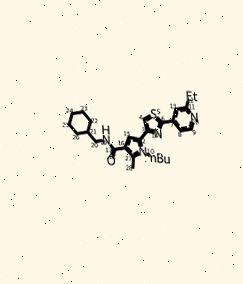 CCCCn1c(-c2csc(-c3ccnc(CC)c3)n2)cc(C(=O)NCC2CCCCC2)c1C